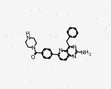 Nc1nc(Cc2ccccc2)c2nc(-c3ccc(C(=O)N4CCNCC4)cc3)ccc2n1